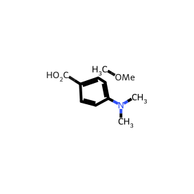 CN(C)c1ccc(C(=O)O)cc1.COC